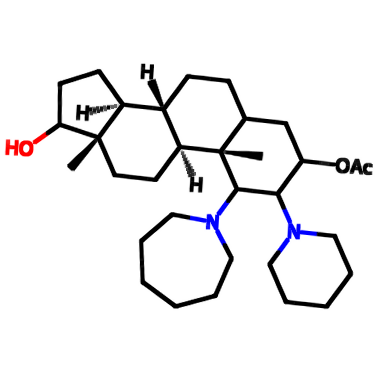 CC(=O)OC1CC2CC[C@@H]3[C@H](CC[C@]4(C)C(O)CC[C@@H]34)[C@@]2(C)C(N2CCCCCC2)C1N1CCCCC1